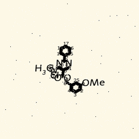 COc1cccc(COC(=O)c2cnc(-c3ccccc3)nc2N(C)C)c1